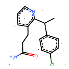 CC(c1ccc(Cl)cc1)c1ncccc1CCC(N)=O